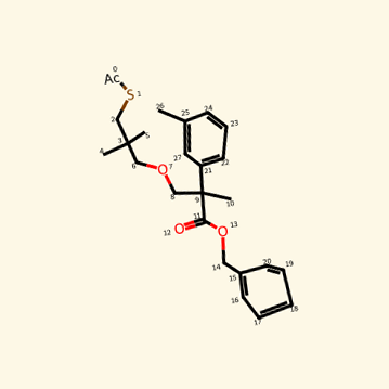 CC(=O)SCC(C)(C)COCC(C)(C(=O)OCc1ccccc1)c1cccc(C)c1